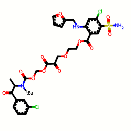 CC(C(=O)c1cccc(Cl)c1)N(C(=O)OCOC(=O)C(=O)COCCOC(=O)c1cc(S(N)(=O)=O)c(Cl)cc1NCc1ccco1)C(C)(C)C